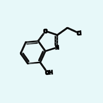 Oc1cccc2oc(CCl)nc12